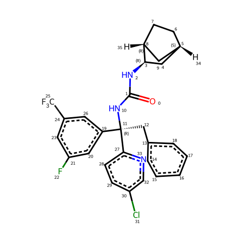 O=C(N[C@@H]1C[C@H]2CC[C@@H]1C2)N[C@](Cc1ccccc1)(c1cc(F)cc(C(F)(F)F)c1)c1ccc(Cl)cn1